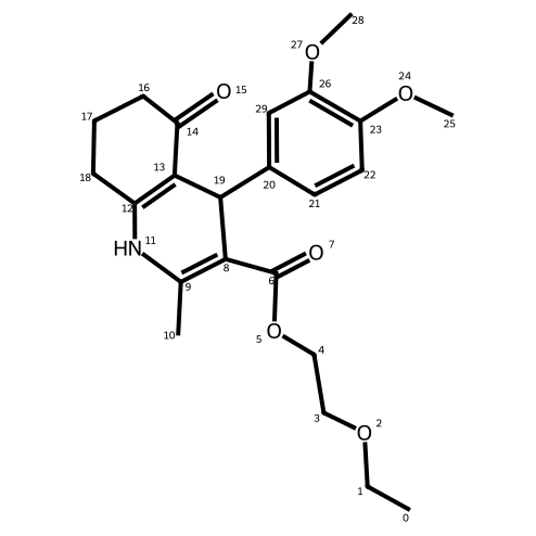 CCOCCOC(=O)C1=C(C)NC2=C(C(=O)CCC2)C1c1ccc(OC)c(OC)c1